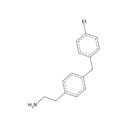 CCc1ccc(Cc2ccc(CCN)cc2)cc1